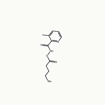 Cc1cccnc1C(=O)NOC(=O)CCCC(C)(C)C